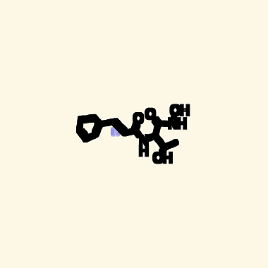 CC(O)C(NC(=O)/C=C/c1ccccc1)C(=O)NO